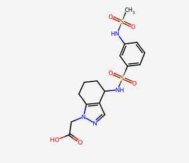 CS(=O)(=O)Nc1cccc(S(=O)(=O)NC2CCCc3c2cnn3CC(=O)O)c1